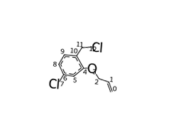 C=CCOc1cc(Cl)ccc1CCl